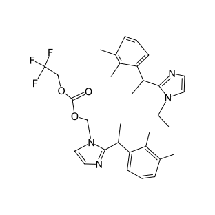 CCn1ccnc1C(C)c1cccc(C)c1C.Cc1cccc(C(C)c2nccn2COC(=O)OCC(F)(F)F)c1C